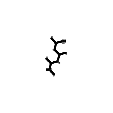 CNC(C)OC(C)CC(C)O